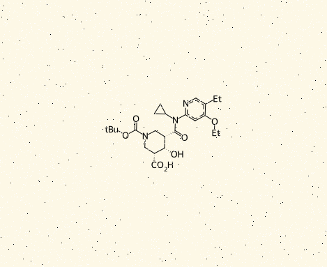 CCOc1cc(N(C(=O)[C@H]2CN(C(=O)OC(C)(C)C)C[C@@H](C(=O)O)[C@H]2O)C2CC2)ncc1CC